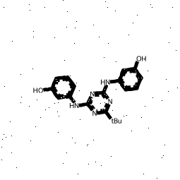 CC(C)(C)c1nc(Nc2cccc(O)c2)nc(Nc2cccc(O)c2)n1